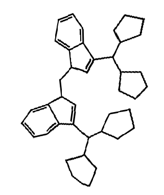 C1=C(C(C2CCCC2)C2CCCC2)c2ccccc2C1CC1C=C(C(C2CCCC2)C2CCCC2)c2ccccc21